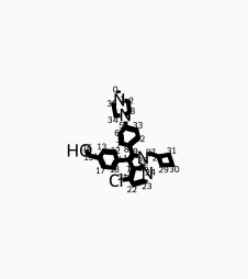 CN1CCN(c2ccc(-c3c(-c4ccc(CO)cc4)c4c(Cl)ccnc4n3CC3CCC3)cc2)CC1